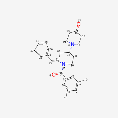 Cc1cc(C)cc(C(=O)N2CC[C@@H](N3CCC(=O)CC3)C[C@H]2Cc2ccccc2)c1